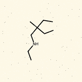 CCNCC(C)(CC)CC